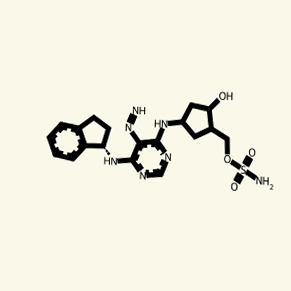 N=Nc1c(NC2CC(O)C(COS(N)(=O)=O)C2)ncnc1N[C@H]1CCc2ccccc21